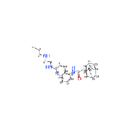 CCCNCCNc1ccc2c(NC(=O)CC34CC5CC(CC(C5)C3)C4)cccc2n1